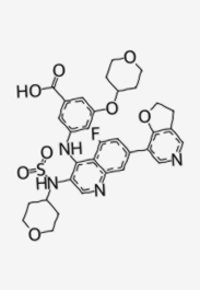 O=C(O)c1cc(Nc2c(N(C3CCOCC3)[SH](=O)=O)cnc3cc(-c4cncc5c4OCC5)cc(F)c23)cc(OC2CCOCC2)c1